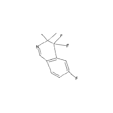 CC1(C)N=Cc2ccc(F)cc2C1(F)F